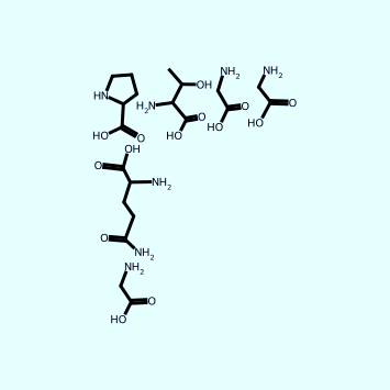 CC(O)C(N)C(=O)O.NC(=O)CCC(N)C(=O)O.NCC(=O)O.NCC(=O)O.NCC(=O)O.O=C(O)C1CCCN1